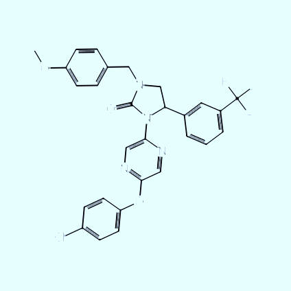 COc1ccc(CN2CC(c3cccc(C(F)(F)F)c3)N(c3cnc(Oc4ccc(Cl)cc4)cn3)C2=O)cc1